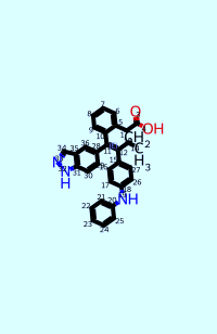 C=C(C(=O)O)c1ccccc1/C(=C(\CC)c1ccc(Nc2ccccc2)cc1)c1ccc2[nH]ncc2c1